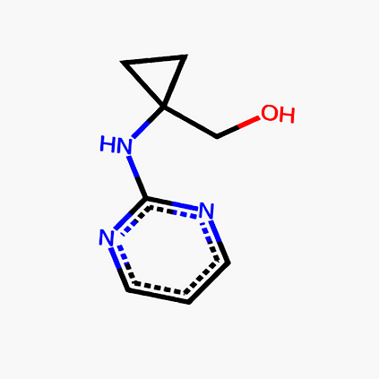 OCC1(Nc2ncccn2)CC1